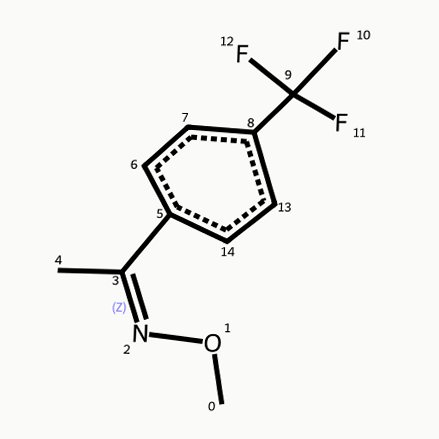 CO/N=C(/C)c1ccc(C(F)(F)F)cc1